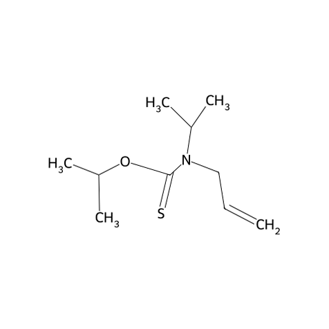 C=CCN(C(=S)OC(C)C)C(C)C